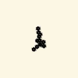 c1ccc(-c2ccc(-c3nc(-c4ccccc4-c4ccccc4)nc(-c4ccc(-c5ccc6c(ccc7cc(-c8ccccc8)ccc76)c5)c5ccccc45)n3)cc2)cc1